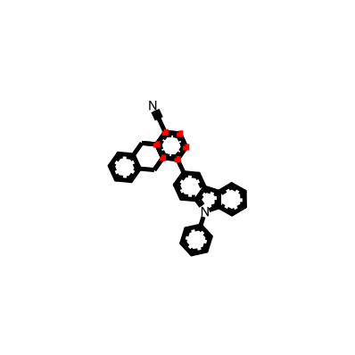 N#Cc1ccc(-c2ccc3c(c2)c2ccccc2n3-c2ccccc2)c2c1C1c3ccccc3C2c2ccccc21